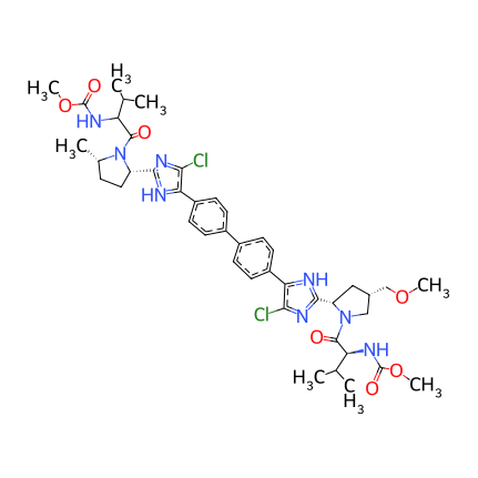 COC[C@H]1C[C@@H](c2nc(Cl)c(-c3ccc(-c4ccc(-c5[nH]c([C@@H]6CC[C@H](C)N6C(=O)C(NC(=O)OC)C(C)C)nc5Cl)cc4)cc3)[nH]2)N(C(=O)[C@@H](NC(=O)OC)C(C)C)C1